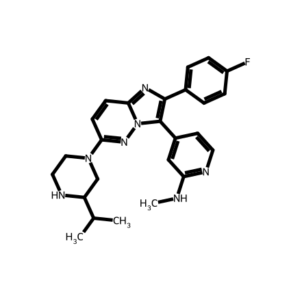 CNc1cc(-c2c(-c3ccc(F)cc3)nc3ccc(N4CCNC(C(C)C)C4)nn23)ccn1